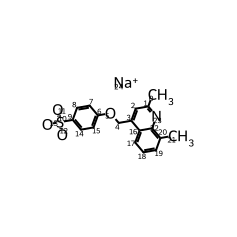 Cc1cc(COc2ccc(S(=O)(=O)[O-])cc2)c2cccc(C)c2n1.[Na+]